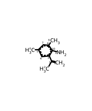 C=C(C)c1cc(C)cc(C)c1N